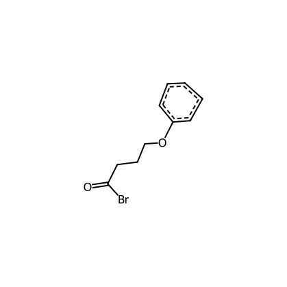 O=C(Br)CCCOc1ccccc1